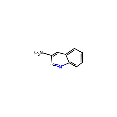 O=[N+]([O-])c1[c]nc2ccccc2c1